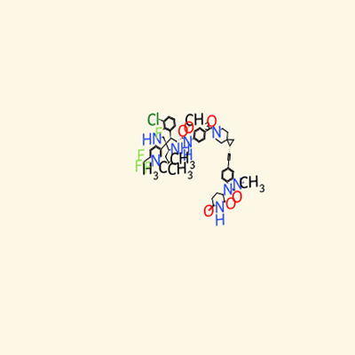 COc1cc(C(=O)N2CCC3(CC2)C[C@@H]3C#Cc2ccc3c(c2)n(C)c(=O)n3C2CCC(=O)NC2=O)ccc1NC(=O)[C@@H]1N[C@@H](CC(C)(C)C)[C@@]2(CNc3cc(C(F)(F)F)ncc32)[C@H]1c1cccc(Cl)c1F